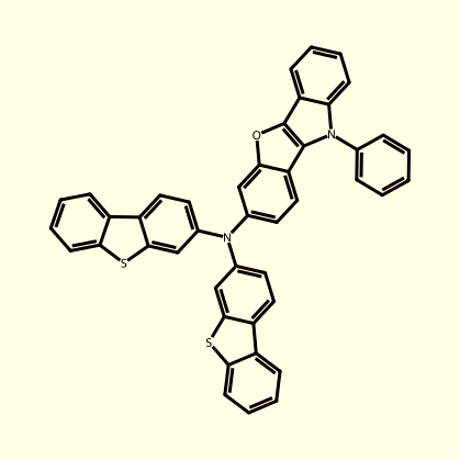 c1ccc(-n2c3ccccc3c3oc4cc(N(c5ccc6c(c5)sc5ccccc56)c5ccc6c(c5)sc5ccccc56)ccc4c32)cc1